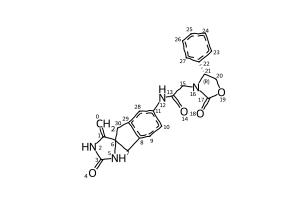 C=C1NC(=O)NC12Cc1ccc(NC(=O)CN3C(=O)OC[C@H]3c3ccccc3)cc1C2